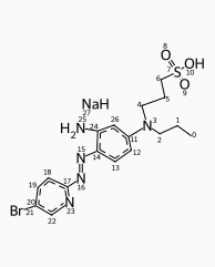 CCCN(CCCS(=O)(=O)O)c1ccc(N=Nc2ccc(Br)cn2)c(N)c1.[NaH]